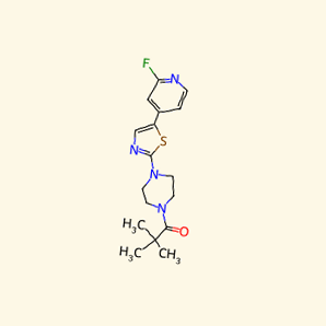 CC(C)(C)C(=O)N1CCN(c2ncc(-c3ccnc(F)c3)s2)CC1